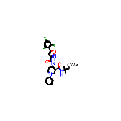 COCC(C)(C)NC(=O)[C@H]1CN(C2CCCCC2)CC[C@@H]1NC(=O)c1cc(-c2c(F)cc(F)cc2F)on1